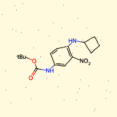 CC(C)(C)OC(=O)Nc1ccc(NC2CCC2)c([N+](=O)[O-])c1